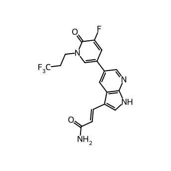 NC(=O)C=Cc1c[nH]c2ncc(-c3cc(F)c(=O)n(CCC(F)(F)F)c3)cc12